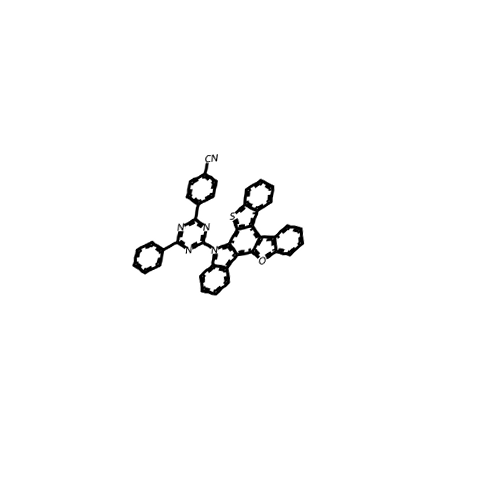 N#Cc1ccc(-c2nc(-c3ccccc3)nc(-n3c4ccccc4c4c5oc6ccccc6c5c5c6ccccc6sc5c43)n2)cc1